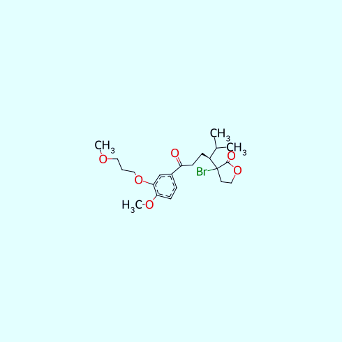 COCCCOc1cc(C(=O)CC[C@@H](C(C)C)C2(Br)CCOC2=O)ccc1OC